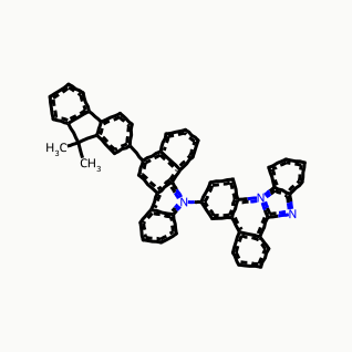 CC1(C)c2ccccc2-c2ccc(-c3cc4c5ccccc5n(-c5ccc6c(c5)c5ccccc5c5nc7ccccc7n65)c4c4ccccc34)cc21